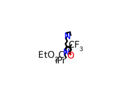 CCOC(=O)C(CC(C)C)n1cc(CCCN2CCC2)c(C(F)(F)F)cc1=O